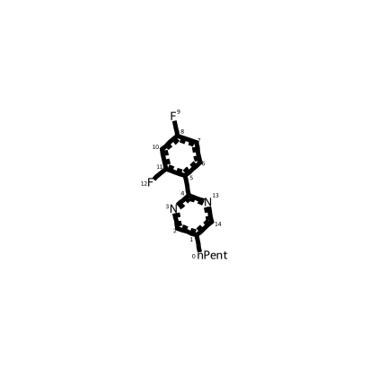 CCCCCc1cnc(-c2ccc(F)cc2F)nc1